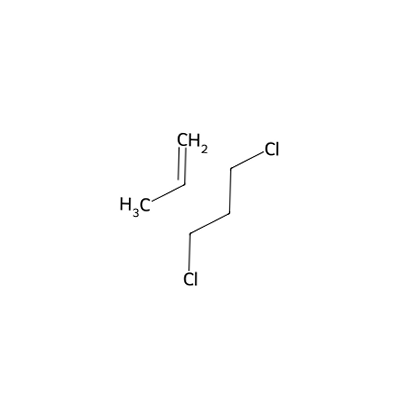 C=CC.ClCCCCl